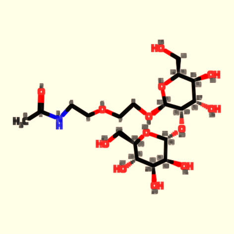 CC(=O)NCCOCCO[C@H]1O[C@@H](CO)[C@@H](O)[C@H](O)[C@@H]1O[C@H]1O[C@H](CO)[C@@H](O)[C@H](O)[C@@H]1O